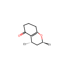 CC[C@H]1C[C@H](CC)C2=C(CCCC2=O)O1